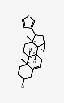 C[C@]12CCC(S)CC1=CC[C@@H]1[C@H]2CC[C@]2(C)C(c3ccoc3)CC3O[C@]312